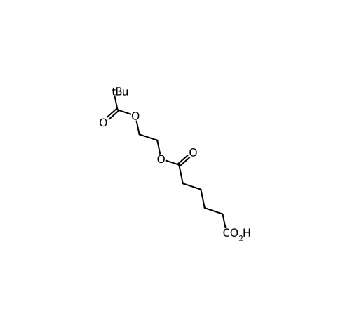 CC(C)(C)C(=O)OCCOC(=O)CCCCC(=O)O